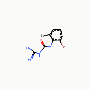 CCc1cccc(Br)c1NC(=O)NC(=N)N